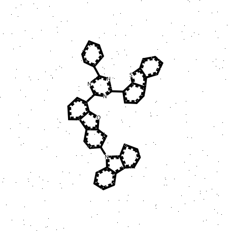 c1ccc(-c2nc(-c3cccc4c3oc3cc(-n5c6ccccc6c6ccccc65)ccc34)nc(-c3cccc4c3sc3ccccc34)n2)cc1